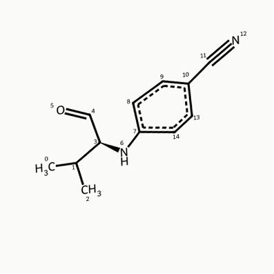 CC(C)[C@@H](C=O)Nc1ccc(C#N)cc1